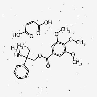 CCC(COC(=O)c1cc(OC)c(OC)c(OC)c1)(NC)c1ccccc1.O=C(O)/C=C\C(=O)O